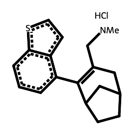 CNCC1=C(c2cccc3sccc23)C2CCC(C1)C2.Cl